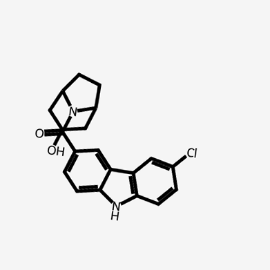 O=C(c1ccc2[nH]c3ccc(Cl)cc3c2c1)N1C2CCC1CC(O)C2